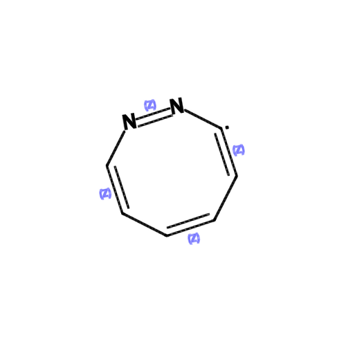 [C]1=C\C=C/C=C\N=N/1